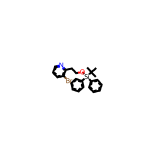 CC(C)(C)[Si](OCCc1ncccc1Br)(c1ccccc1)c1ccccc1